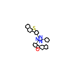 c1ccc(-c2nc(-c3ccc4sc5c6ccccc6ccc5c4c3)nc(-c3cccc4oc5cc6ccccc6cc5c34)n2)cc1